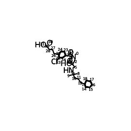 CN(CC(O)CNC(C)(C)CCCc1ccccc1)S(=O)(=O)c1ccc(CCCC(=O)O)c(Cl)c1